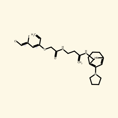 C=C/C(=C\C(F)=C\Cl)OCC(=O)NCCC(=C)NC1NC2=CC(N3CCCC3)=C1CCC2